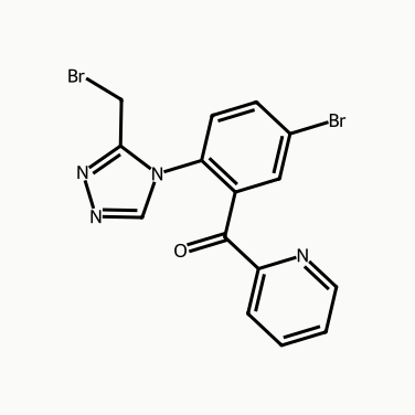 O=C(c1ccccn1)c1cc(Br)ccc1-n1cnnc1CBr